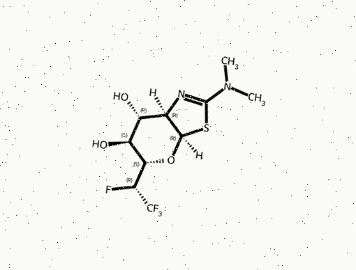 CN(C)C1=N[C@@H]2[C@@H](O)[C@H](O)[C@@H]([C@@H](F)C(F)(F)F)O[C@@H]2S1